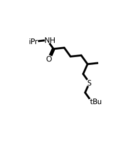 CC(CCCC(=O)NC(C)C)CSCC(C)(C)C